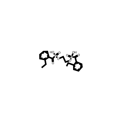 CCc1ccccc1C(=O)P(=O)(O)OCCOP(=O)(O)C(=O)c1ccccc1CC